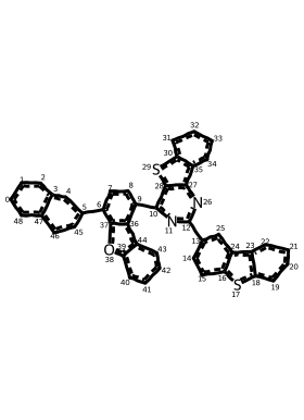 c1ccc2cc(-c3ccc(-c4nc(-c5ccc6sc7ccccc7c6c5)nc5c4sc4ccccc45)c4c3oc3ccccc34)ccc2c1